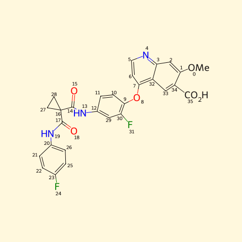 COc1cc2nccc(Oc3ccc(NC(=O)C4(C(=O)Nc5ccc(F)cc5)CC4)cc3F)c2cc1C(=O)O